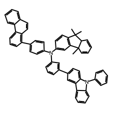 CC1(C)c2ccc(N(c3ccc(-c4cccc5c4ccc4ccccc45)cc3)c3cccc(-c4ccc5c(c4)c4ccccc4n5-c4ccccc4)c3)cc2C2(C)C=CC=CC12